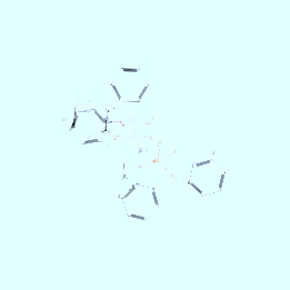 O=P(Oc1ccccc1)(Oc1ccccc1)OP(CCCl)(Oc1ccccc1)(Oc1ccccc1)OC1CCCCC1